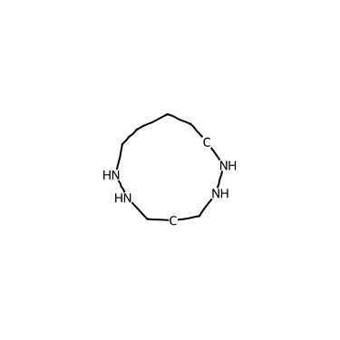 C1CCNNCCCNNCC1